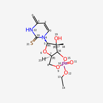 C=C1C=CN([C@@H]2O[C@@H]3COP(=O)(OCC)OC3[C@@]2(C)O)C(=S)N1